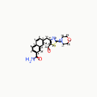 NC(=O)c1ccc2ccc(Cc3nc(N4CCOCC4)sc3C=O)cc2c1